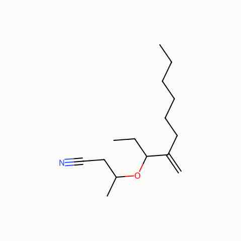 C=C(CCCCCC)C(CC)OC(C)CC#N